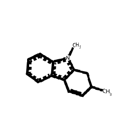 CC1C=Cc2c(n(C)c3ccccc23)C1